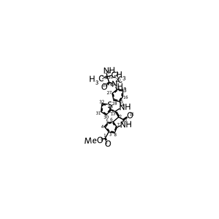 COC(=O)c1ccc2c(c1)NC(=O)/C2=C(\Nc1ccc(N(C)C(=O)C(C)(C)N)cc1)c1cccs1